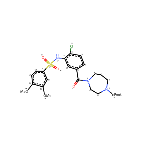 CCCCCN1CCCN(C(=O)c2ccc(Cl)c(NS(=O)(=O)c3ccc(OC)c(OC)c3)c2)CC1